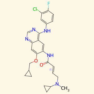 CN(C/C=C/C(=O)Nc1cc2c(Nc3ccc(F)c(Cl)c3)ncnc2cc1OCC1CC1)C1CC1